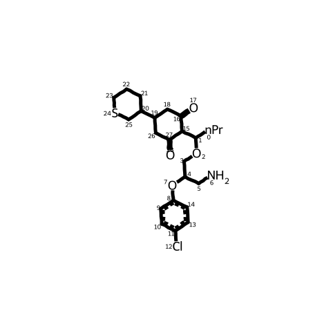 CCCC(OCC(CN)Oc1ccc(Cl)cc1)C1C(=O)CC(C2CCCSC2)CC1=O